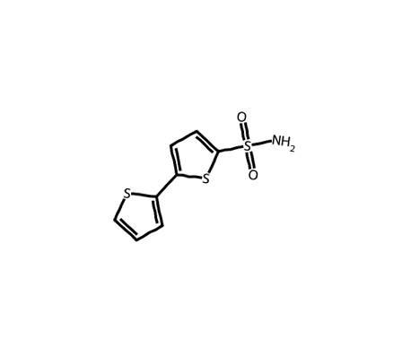 NS(=O)(=O)c1ccc(-c2cccs2)s1